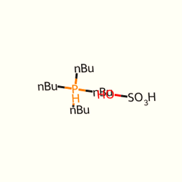 CCCC[PH](CCCC)(CCCC)CCCC.O=S(=O)(O)O